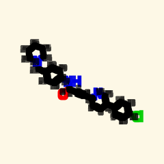 O=C(C#Cc1ccc(-c2ccc(Cl)cc2)cn1)Nc1ccc(CN2CCCCC2)cc1